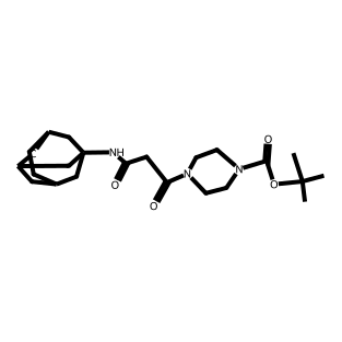 CC(C)(C)OC(=O)N1CCN(C(=O)CC(=O)NC23CC4CCC(CC(C4)C2)C3)CC1